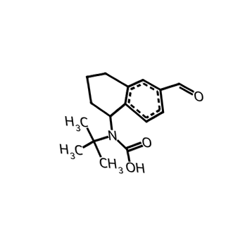 CC(C)(C)N(C(=O)O)C1CCCc2cc(C=O)ccc21